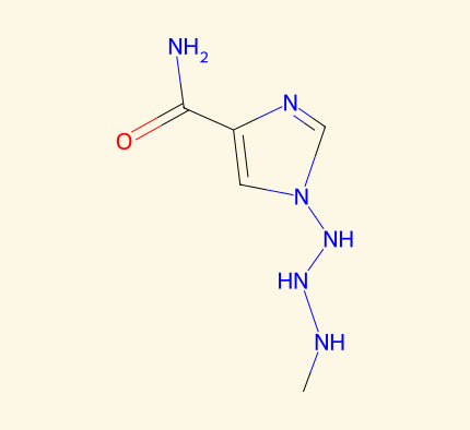 CNNNn1cnc(C(N)=O)c1